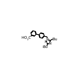 CCC(C)c1nc(C(C)CC)n(Cc2ccc(-c3cccc(C(=O)O)c3)cc2)n1